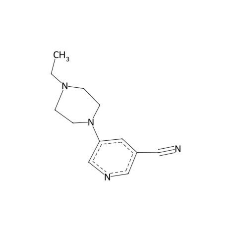 CCN1CCN(c2cncc(C#N)c2)CC1